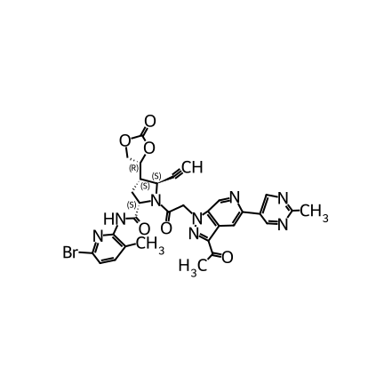 C#C[C@@H]1[C@@H]([C@@H]2COC(=O)O2)C[C@@H](C(=O)Nc2nc(Br)ccc2C)N1C(=O)Cn1nc(C(C)=O)c2cc(-c3cnc(C)nc3)ncc21